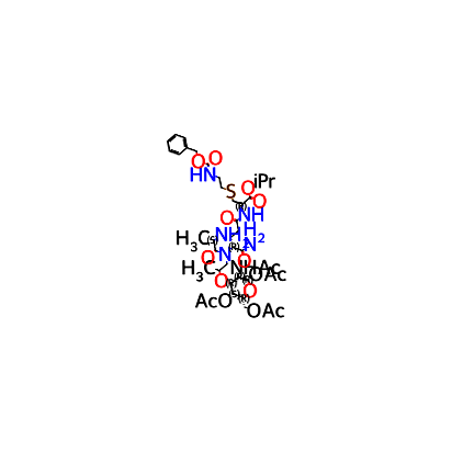 CC(=O)N[C@H]1[C@@H](OC(C)=O)O[C@H](COC(C)=O)[C@@H](OC(C)=O)[C@@H]1OC(C)CN(C(=O)[C@H](C)N)[C@H](CCC(=O)N[C@@H](CSCCNC(=O)OCc1ccccc1)C(=O)OC(C)C)C(N)=O